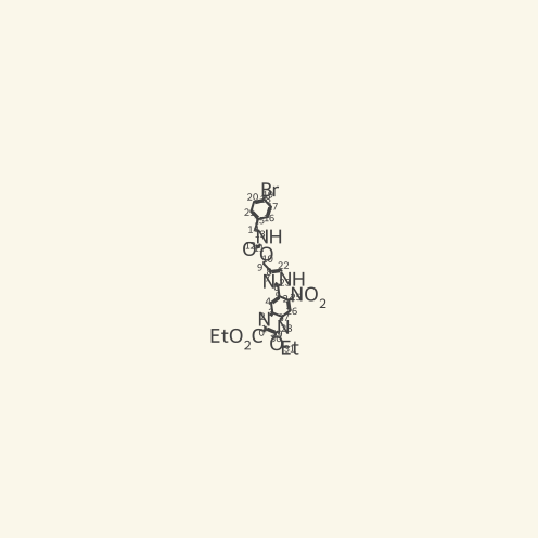 CCOC(=O)c1nc2cc(-c3nc(COC(=O)NCc4ccc(Br)cc4)c[nH]3)c([N+](=O)[O-])cc2nc1OCC